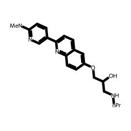 CCCNCC(O)COc1ccc2nc(-c3ccc(NC)nc3)ccc2c1